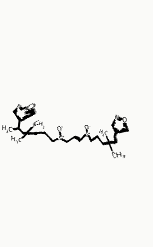 CC(c1cnoc1)C(C)(C)CCC[S+]([O-])CCC[S+]([O-])CCCC(C)(C)Cc1cnoc1